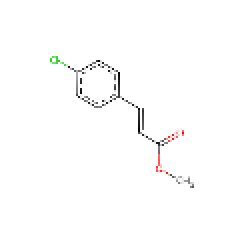 COC(=O)C=Cc1ccc(Cl)cc1